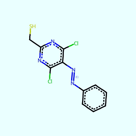 SCc1nc(Cl)c(/N=N/c2ccccc2)c(Cl)n1